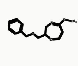 COC1=NCC(COCc2ccccc2)OCC1